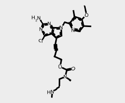 CNCCN(C)C(=O)OCCC#Cc1cn(Cc2ncc(C)c(OC)c2C)c2nc(N)nc(Cl)c12